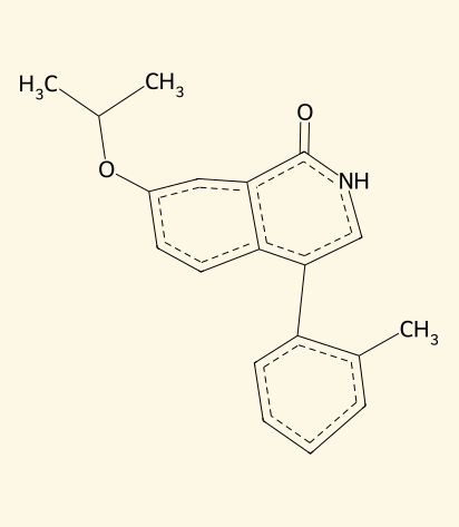 Cc1ccccc1-c1c[nH]c(=O)c2cc(OC(C)C)ccc12